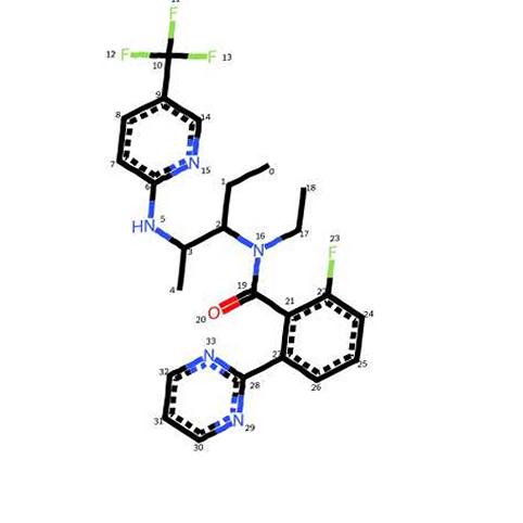 CCC(C(C)Nc1ccc(C(F)(F)F)cn1)N(CC)C(=O)c1c(F)cccc1-c1ncccn1